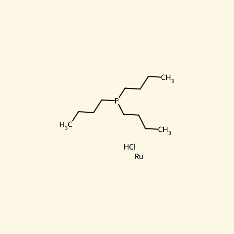 CCCCP(CCCC)CCCC.Cl.[Ru]